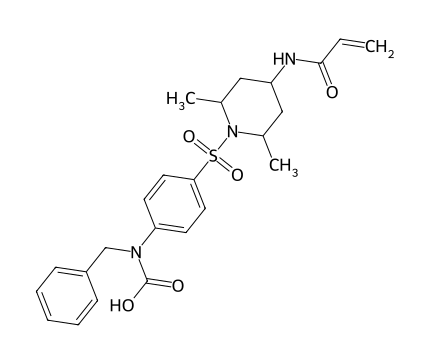 C=CC(=O)NC1CC(C)N(S(=O)(=O)c2ccc(N(Cc3ccccc3)C(=O)O)cc2)C(C)C1